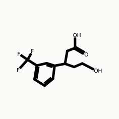 O=C(O)CC(CCO)c1cccc(C(F)(F)F)c1